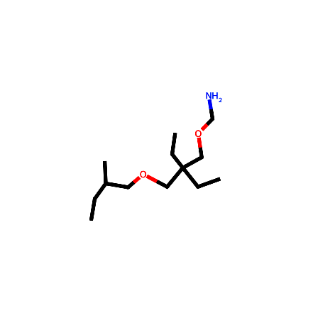 CCC(C)COCC(CC)(CC)COCN